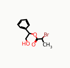 CC(Br)C(=O)OC(CO)c1ccccc1